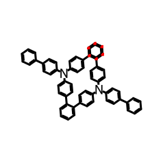 c1ccc(-c2ccc(N(c3ccc(-c4ccccc4)cc3)c3ccc(-c4ccccc4-c4ccc(N(c5ccc(-c6ccccc6)cc5)c5ccc(-c6ccccc6)cc5)cc4)cc3)cc2)cc1